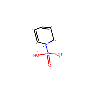 O=P(O)(O)N1C=CC=CC1